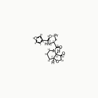 CC(C)C[C@H](NC(=O)c1ccoc1)C(=O)N1CCC[C@H]2OCC(=O)[C@H]21